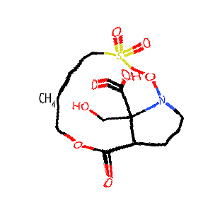 C.O=C1OCCCCS(=O)(=O)ON2CCC1C2(CO)C(=O)O